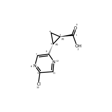 O=C(O)[C@@H]1C[C@H]1c1cnc(Cl)cn1